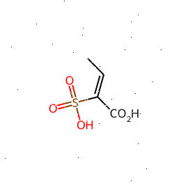 CC=C(C(=O)O)S(=O)(=O)O